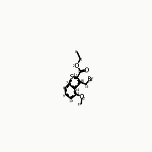 CCOC(=O)c1sc2cccc(OC)c2c1CBr